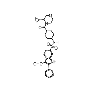 O=Cc1c(-c2ccccc2)[nH]c2cc(S(=O)(=O)NC3CCC(C(=O)N4CCOCC4C4CC4)CC3)ccc12